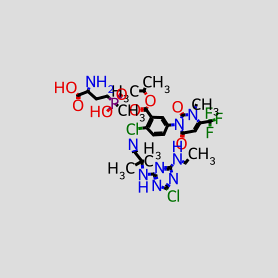 CC(C)OC(=O)c1cc(-n2c(=O)cc(C(F)(F)F)n(C)c2=O)ccc1Cl.CCNc1nc(Cl)nc(NC(C)(C)C#N)n1.CP(=O)(O)CCC(N)C(=O)O